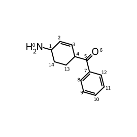 NC1C=CC(C(=O)c2ccccc2)CC1